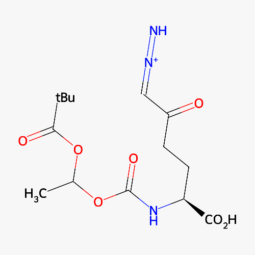 CC(OC(=O)N[C@@H](CCC(=O)C=[N+]=N)C(=O)O)OC(=O)C(C)(C)C